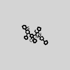 CCc1c(-c2ccccc2)nc(C2=CC=C(c3ccccc3)CC2)nc1-c1cc(C2=Cc3sc4ccccc4c3CC2c2ccccc2)cc2oc3ccccc3c12